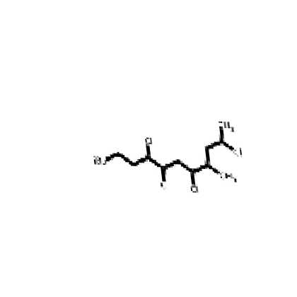 CCC(C)CCC(Cl)C(Cl)CC(Cl)C(C)CC(C)Cl